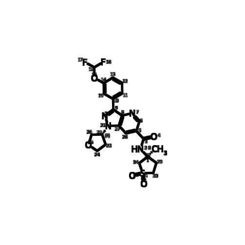 C[C@]1(NC(=O)c2cnc3c(-c4cccc(OC(F)F)c4)nn([C@@H]4CCOC4)c3c2)CCS(=O)(=O)C1